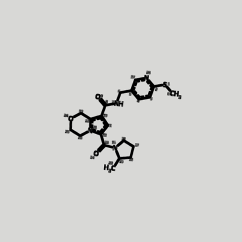 CSc1ccc(CNC(=O)c2cc(C(=O)N3CCCC3C)n3c2COCC3)cn1